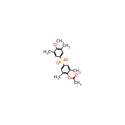 COc1c(C)cc(S(=O)(=O)c2cc(C)c(OC(C)=O)c(C)c2)cc1C